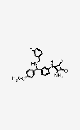 COc1ccc(C(NCc2cccc(F)c2)c2cccc(Nc3c(N)c(=O)c3=O)c2)cc1